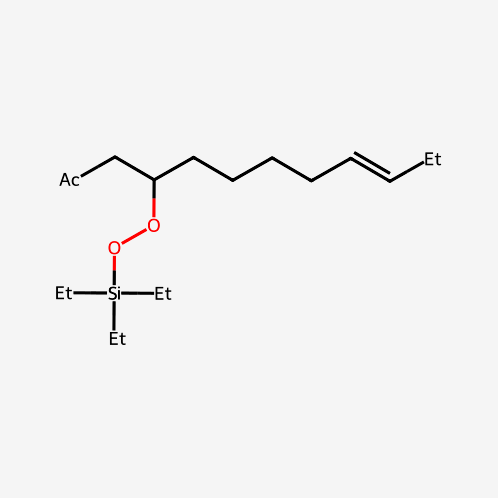 CCC=CCCCCC(CC(C)=O)OO[Si](CC)(CC)CC